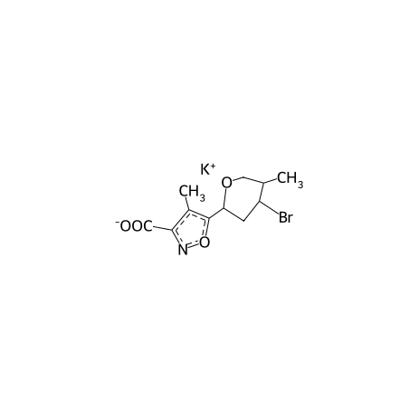 Cc1c(C(=O)[O-])noc1C1CC(Br)C(C)CO1.[K+]